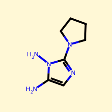 Nc1cnc(N2CCCC2)n1N